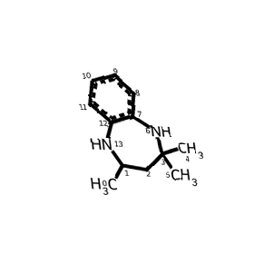 CC1CC(C)(C)Nc2ccccc2N1